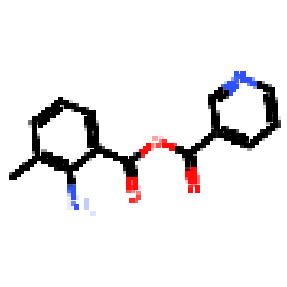 Cc1cccc(C(=O)OC(=O)c2cccnc2)c1N